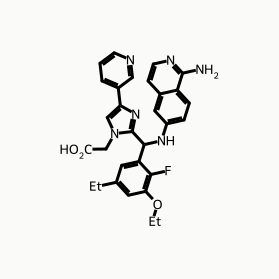 CCOc1cc(CC)cc(C(Nc2ccc3c(N)nccc3c2)c2nc(-c3cccnc3)cn2CC(=O)O)c1F